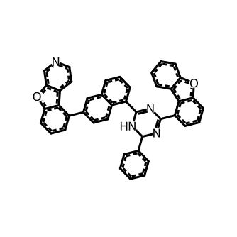 c1ccc(C2N=C(c3cccc4oc5ccccc5c34)N=C(c3cccc4cc(-c5cccc6oc7cnccc7c56)ccc34)N2)cc1